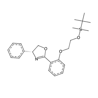 CC(C)(C)[Si](C)(C)OCCOc1ccccc1C1=N[C@H](c2ccccc2)CO1